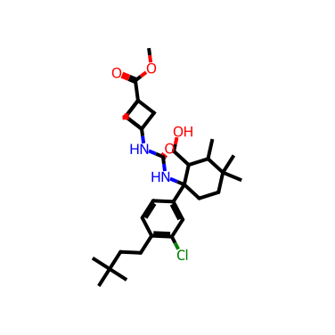 COC(=O)C12CC(NC(=O)NC3(c4ccc(CCC(C)(C)C)c(Cl)c4)CCC(C)(C)C(C)C3CO)(C1)C2